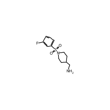 NCC1CCN(S(=O)(=O)c2cccc(F)c2)CC1